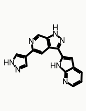 c1cnc2[nH]c(-c3n[nH]c4cnc(-c5cn[nH]c5)cc34)cc2c1